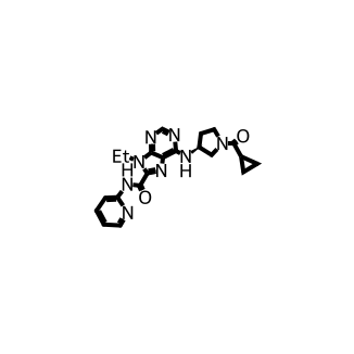 CCn1c(C(=O)Nc2ccccn2)nc2c(N[C@H]3CCN(C(=O)C4CC4)C3)ncnc21